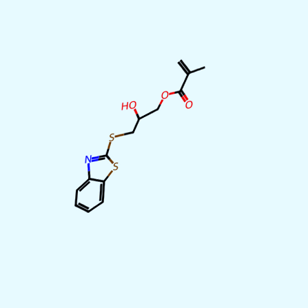 C=C(C)C(=O)OCC(O)CSc1nc2ccccc2s1